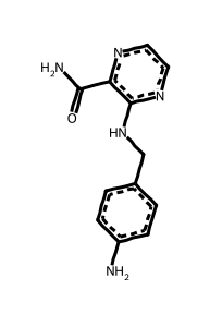 NC(=O)c1nccnc1NCc1ccc(N)cc1